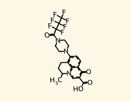 CC1CCc2c(N3CCN(C(=O)C(F)(F)C(F)(F)C(F)(F)F)CC3)ccc3c(=O)c(C(=O)O)cn1c23